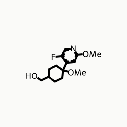 COc1cc(C2(OC)CCC(CO)CC2)c(F)cn1